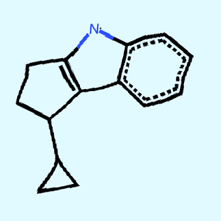 c1ccc2c(c1)[N]C1=C2C(C2CC2)CC1